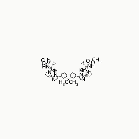 COC(=O)N[C@H](C(=O)N1CCC[C@H]1c1ncc(-c2ccc3c(c2)C(C)(C)c2cc(-c4cnc([C@@H]5CCCN5C(=O)[C@@H](NC(=O)OC)C5CC5)[nH]4)ccc2-3)[nH]1)C1CC1